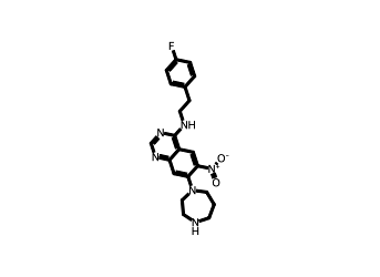 O=[N+]([O-])c1cc2c(NCCc3ccc(F)cc3)ncnc2cc1N1CCCNCC1